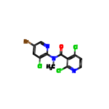 CN(C(=O)c1c(Cl)ccnc1Cl)c1ncc(Br)cc1Cl